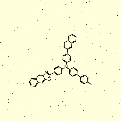 Cc1ccc(-c2ccc(N(c3ccc(-c4ccc5ccccc5c4)cc3)c3ccc(-c4nc5cc6ccccc6cc5o4)cc3)cc2)cc1